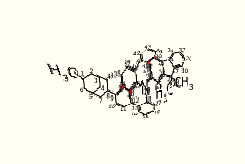 CC1CC2CC(C1)CC(c1ccc(-c3ccccc3N(c3ccc4c(c3)C(C)(C)c3ccccc3-4)c3ccccc3-c3ccccc3)cc1)C2